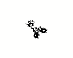 NC1CCN(CCCN2c3ccccc3N(c3ccccc3F)S2(=O)=O)CC1